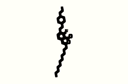 CCCCCCCCCCCc1cc2ccc(CCC3CCC(CCC)CC3)c(F)c2c(=O)o1